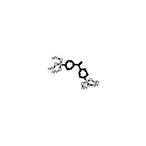 C=C(c1ccc([Si](OCCC)(OCCC)OCCC)cc1)c1ccc([Si](OCCC)(OCCC)OCCC)cc1